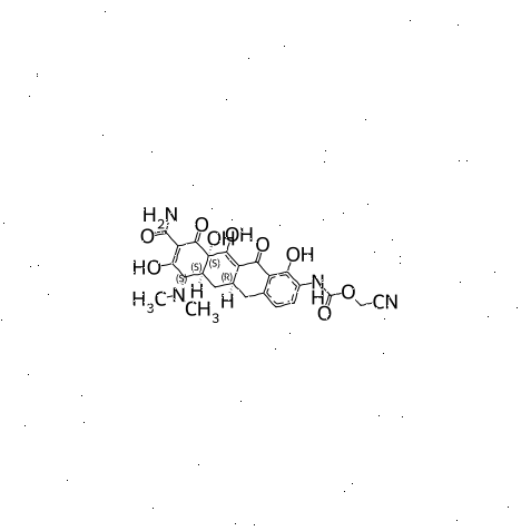 CN(C)[C@@H]1C(O)=C(C(N)=O)C(=O)[C@@]2(O)C(O)=C3C(=O)c4c(ccc(NC(=O)OCC#N)c4O)C[C@H]3C[C@@H]12